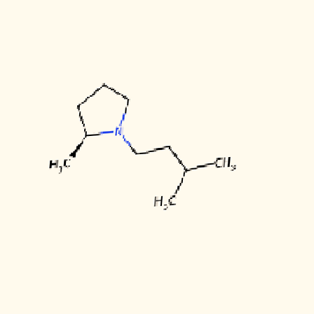 CC(C)CCN1CCC[C@@H]1C